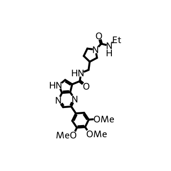 CCNC(=O)N1CCC(CNC(=O)c2c[nH]c3ncc(-c4cc(OC)c(OC)c(OC)c4)nc23)C1